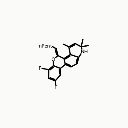 CCCCC/C=C1\Oc2c(F)cc(F)cc2-c2ccc3c(c21)C(C)=CC(C)(C)N3